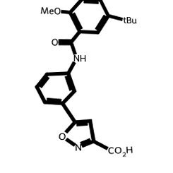 COc1ccc(C(C)(C)C)cc1C(=O)Nc1cccc(-c2cc(C(=O)O)no2)c1